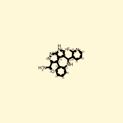 NC(=O)c1nnc2[nH]cc3c2c1-c1ccccc1NC3c1cccnc1F